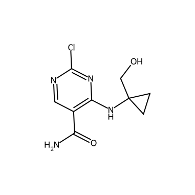 NC(=O)c1cnc(Cl)nc1NC1(CO)CC1